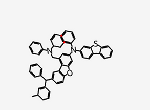 CC1C=C(C(c2ccccc2)c2ccc3oc4cc(N(c5ccccc5)c5ccc6c(c5)sc5ccccc56)cc(CN(c5ccccc5)C5C=CC=CC5)c4c3c2)C=CC1